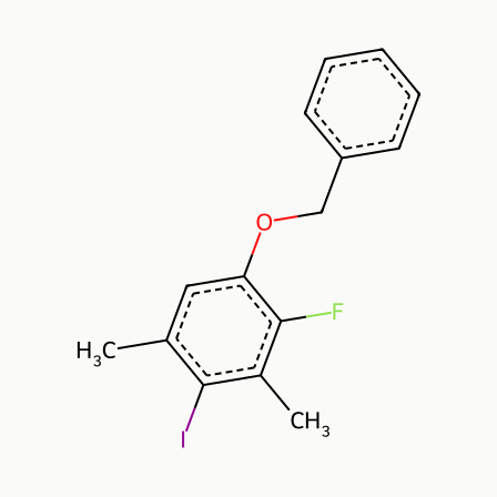 Cc1cc(OCc2ccccc2)c(F)c(C)c1I